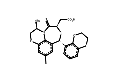 Cc1cc2c3c(c1)[C@@H](c1cccc4c1OCCO4)S[C@H](CC(=O)O)C(=O)N3[C@H](C(C)(C)C)CO2